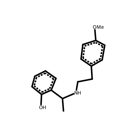 COc1ccc(CCNC(C)c2ccccc2O)cc1